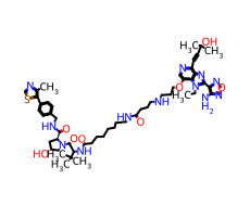 CCn1c(-c2nonc2N)nc2c(C#CC(C)(C)O)ncc(OCCCNCCCC(=O)NCCCCCCCC(=O)NC(C(=O)N3C[C@H](O)C[C@H]3C(=O)NCc3ccc(-c4scnc4C)cc3)C(C)(C)C)c21